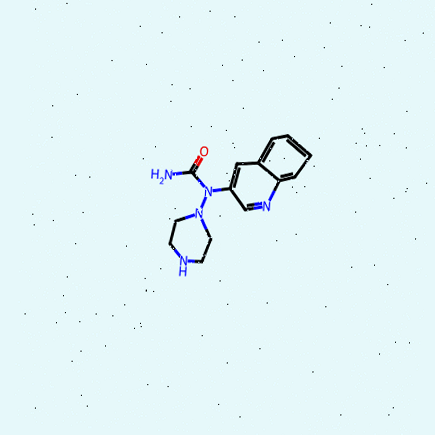 NC(=O)N(c1cnc2ccccc2c1)N1CCNCC1